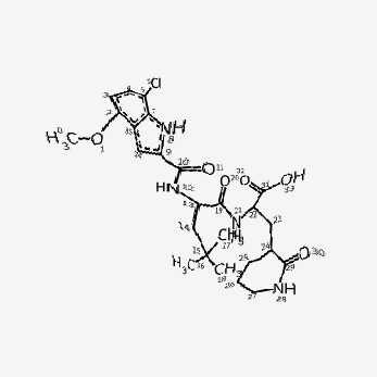 COc1ccc(Cl)c2[nH]c(C(=O)NC(CC(C)(C)C)C(=O)NC(CC3CCCNC3=O)C(=O)O)cc12